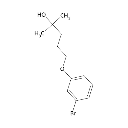 CC(C)(O)CCCOc1cccc(Br)c1